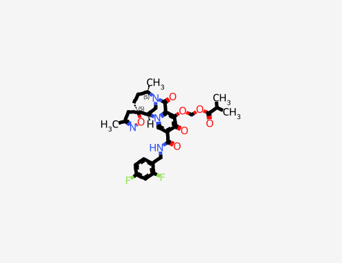 CC1=NO[C@@]2(CC[C@H](C)N3C[C@H]2n2cc(C(=O)NCc4ccc(F)cc4F)c(=O)c(OCOC(=O)C(C)C)c2C3=O)C1